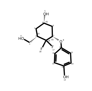 OC[C@@H]1C[C@H](O)C[C@H](Oc2ccc(O)cc2)C1(F)F